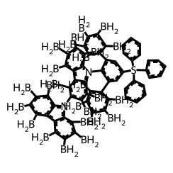 Bc1c(B)c(B)c(-c2cc(S(c3ccccc3)(c3ccccc3)c3ccccc3)cc(-c3c(B)c(B)c(B)c(B)c3B)c2-n2c3c(B)c(B)c(B)c(B)c3c3c(B)c(-n4c5c(B)c(B)c(B)c(B)c5c5c(B)c(B)c(B)c(B)c54)c(B)c(B)c32)c(B)c1B